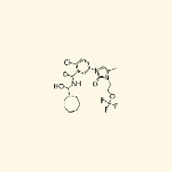 Cc1cn(-c2ccc(Cl)c(C(=O)NC(O)C3CCCCCC3)c2)c(=O)n1CCOC(F)(F)F